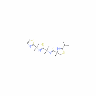 CC(C)C1=N[C@@](C)(C2=N[C@](C)(C3=N[C@](C)(c4nccs4)CS3)CS2)CS1